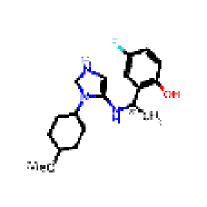 COC1CCC(N2CNC=C2N[C@H](C)c2cc(F)ccc2O)CC1